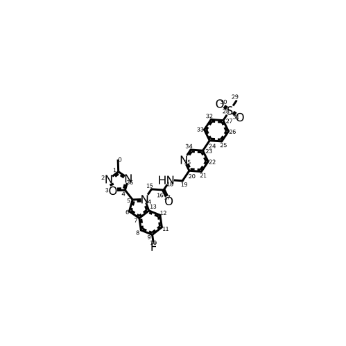 Cc1noc(-c2cc3cc(F)ccc3n2CC(=O)NCc2ccc(-c3ccc(S(C)(=O)=O)cc3)cn2)n1